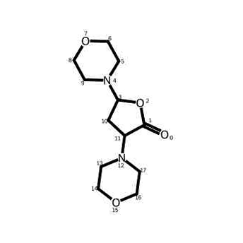 O=C1OC(N2CCOCC2)CC1N1CCOCC1